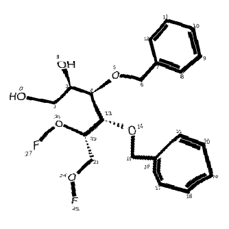 OC[C@@H](O)[C@@H](OCc1ccccc1)[C@H](OCc1ccccc1)[C@H](COF)OF